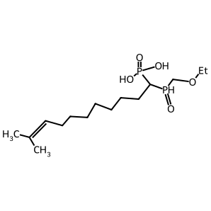 CCOC[PH](=O)C(CCCCCCCC=C(C)C)P(=O)(O)O